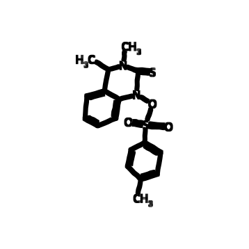 Cc1ccc(S(=O)(=O)ON2C(=S)N(C)C(C)c3ccccc32)cc1